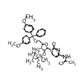 COc1ccc(C(OC[C@H]2O[C@@H](n3ccc(NC(C)=O)nc3=O)[C@@H](O[Si](C)(C)C(C)(C)C)C2O)(c2ccccc2)c2ccc(OC)cc2)cc1